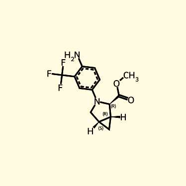 COC(=O)[C@H]1[C@@H]2C[C@@H]2CN1c1ccc(N)c(C(F)(F)F)c1